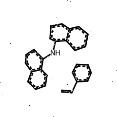 C=Cc1ccccc1.c1ccc2c(Nc3cccc4ccccc34)cccc2c1